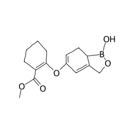 COC(=O)C1=C(OC2=CCC3B(O)OCC3=C2)CCCC1